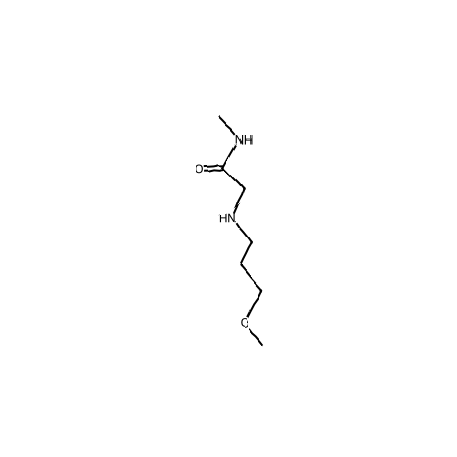 CNC(=O)CNCCCOC